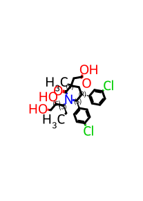 CC[C@@H]([C@H](O)CO)N1C(=O)[C@](C)(CC(=O)O)C[C@H](c2cccc(Cl)c2)[C@H]1c1ccc(Cl)cc1